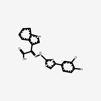 O=C(O)/C(=N/Nc1nc(-c2ccc(Cl)c(Cl)c2)cs1)c1c[nH]c2ccccc12